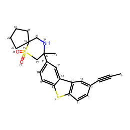 CC#Cc1ccc2sc3ccc(C4(C)CS(=O)(=O)C5(CCCC5)CN4)cc3c2c1